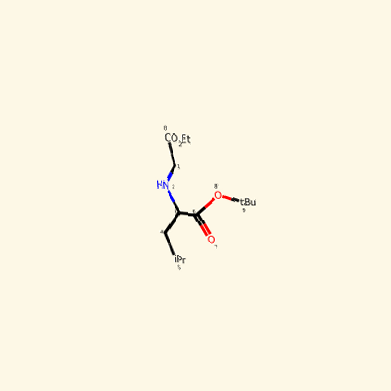 CCOC(=O)CNC(CC(C)C)C(=O)OC(C)(C)C